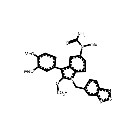 CCCCN(C(N)=O)c1ccc2c(c1)c(-c1ccc(OC)c(OC)c1)c(OC(=O)O)n2Cc1ccc2nsnc2c1